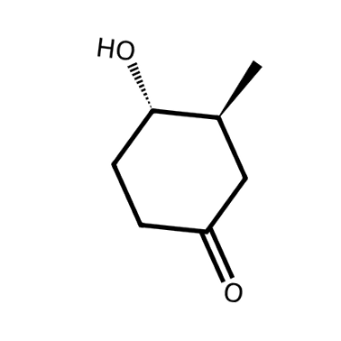 C[C@H]1CC(=O)CC[C@@H]1O